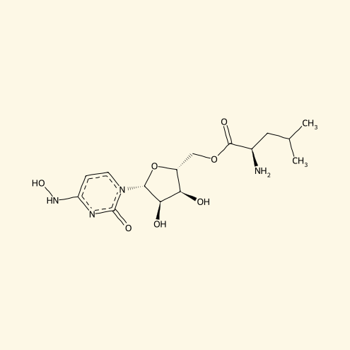 CC(C)C[C@@H](N)C(=O)OC[C@H]1O[C@@H](n2ccc(NO)nc2=O)[C@H](O)[C@@H]1O